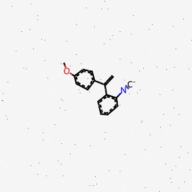 [C-]#[N+]c1ccccc1C(=C)c1ccc(OC)cc1